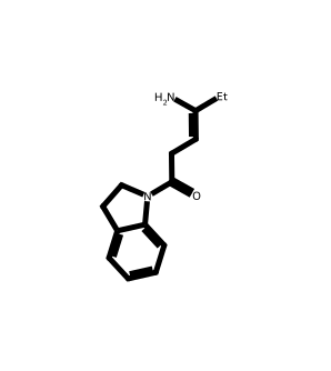 CCC(N)=CCC(=O)N1CCc2ccccc21